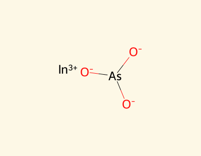 [In+3].[O-][As]([O-])[O-]